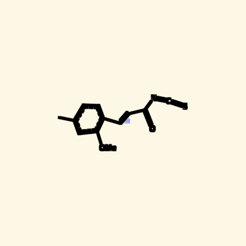 COc1cc(C)ccc1/C=C/C(=O)N=C=S